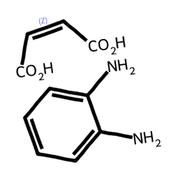 Nc1ccccc1N.O=C(O)/C=C\C(=O)O